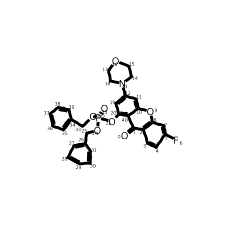 O=c1c2ccc(F)cc2oc2cc(N3CCOCC3)cc(OP(=O)(OCc3ccccc3)OCc3ccccc3)c12